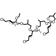 CCOC(/C=C/CCl)[SiH2]OCC(C)COC(/C=C/CCl)[SiH2]OCC(C)CO[Si]1(/C=C/CCl)OCC(C)CO1